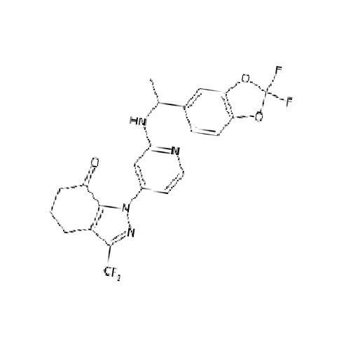 CC(Nc1cc(-n2nc(C(F)(F)F)c3c2C(=O)CCC3)ccn1)c1ccc2c(c1)OC(F)(F)O2